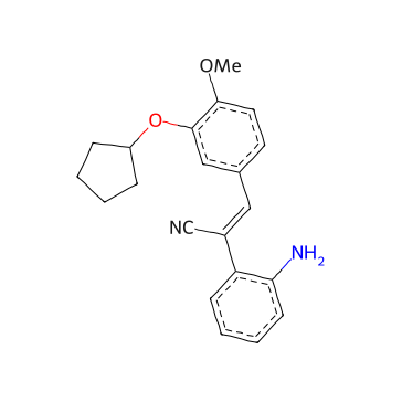 COc1ccc(/C=C(\C#N)c2ccccc2N)cc1OC1CCCC1